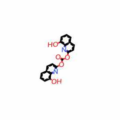 O=C(Oc1ccc2cccc(O)c2n1)Oc1ccc2cccc(O)c2n1